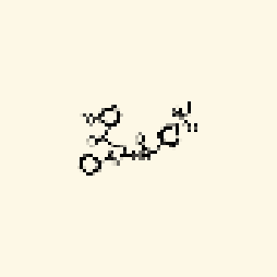 CCS(=O)(=O)c1ccc(CC(=O)Nc2nc(-c3ccccc3)c(C(=O)c3ccccc3OC)s2)cc1